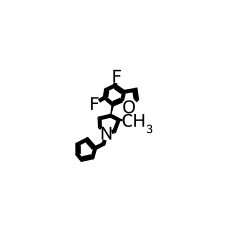 C[C@H]1CN(Cc2ccccc2)CC[C@H]1c1c(F)cc(F)c2ccoc12